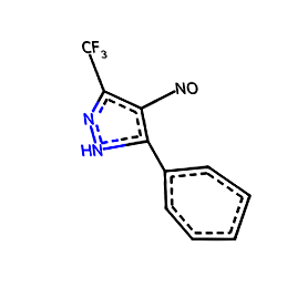 O=Nc1c(C(F)(F)F)n[nH]c1-c1ccccc1